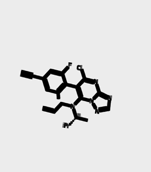 C#Cc1cc(C)c(-c2c(Cl)nc3ncnn3c2N(CC=C)[C@H](C)C(C)C)c(F)c1